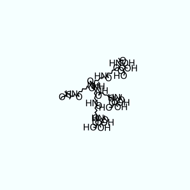 COCC(C)CC(C)CNC(=O)CCCCCNC(=O)C(CCCCNC(=O)CCCCOC1OC(CO)C(O)C(O)C1NC(C)=O)NC(=O)C(CCCCNC(=O)CCCCOC1OC(CO)C(O)C(O)C1NC(C)=O)NC(=O)CCCCOC1OC(CO)C(O)C(O)C1NC(C)=O